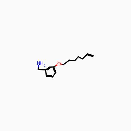 C=CCCCCCOc1cccc(CN)c1